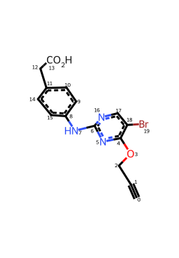 C#CCOc1nc(Nc2ccc(CC(=O)O)cc2)ncc1Br